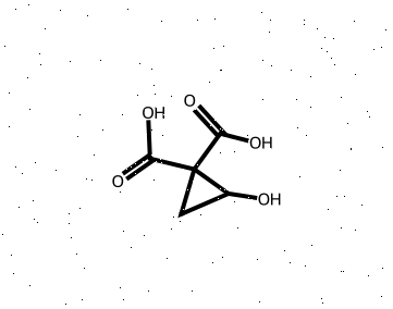 O=C(O)C1(C(=O)O)CC1O